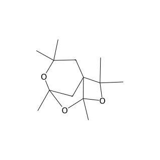 CC1(C)CC23CC(C)(O1)OC2(C)OC3(C)C